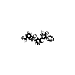 Cc1ncc(NC(=O)c2cccc(C(F)F)c2)cc1-c1cc(N2CCOCC2)c(=O)n(C)n1